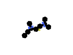 c1ccc(-c2ccc(-c3cc(-c4ccc5sc6cc(-c7nc(-c8ccccc8)cc(-c8ccccc8)n7)ccc6c5c4)nc(-c4ccccc4)n3)cc2)cc1